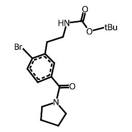 CC(C)(C)OC(=O)NCCc1cc(C(=O)N2CCCC2)ccc1Br